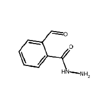 NNC(=O)c1ccccc1C=O